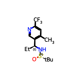 CC[C@H](N[S@@+]([O-])C(C)(C)C)c1cnc(C(F)(F)F)cc1C